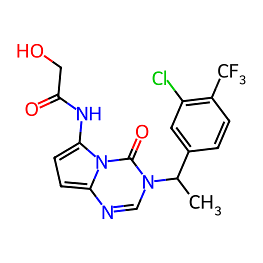 CC(c1ccc(C(F)(F)F)c(Cl)c1)n1cnc2ccc(NC(=O)CO)n2c1=O